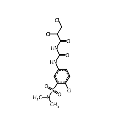 CN(C)S(=O)(=O)c1cc(NC(=O)NC(=O)C(Cl)CCl)ccc1Cl